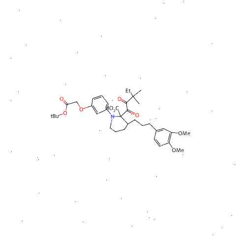 CCC(C)(C)C(=O)C(=O)C1(C(=O)O)C(CCCc2ccc(OC)c(OC)c2)CCCN1c1cccc(OCC(=O)OC(C)(C)C)c1